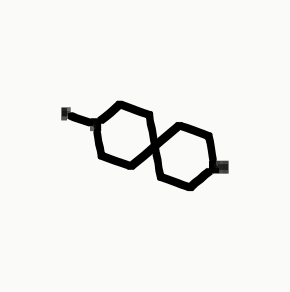 FN1CCC2(CCNCC2)CC1